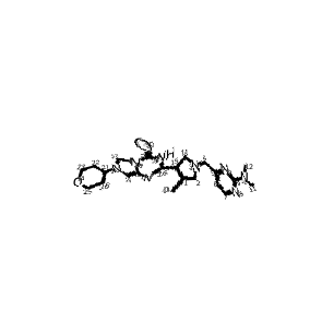 CC1CN(Cc2ccnc(N(C)C)n2)CC1C1=NC2=CN(C3CCOCC3)CN2C(=O)N1